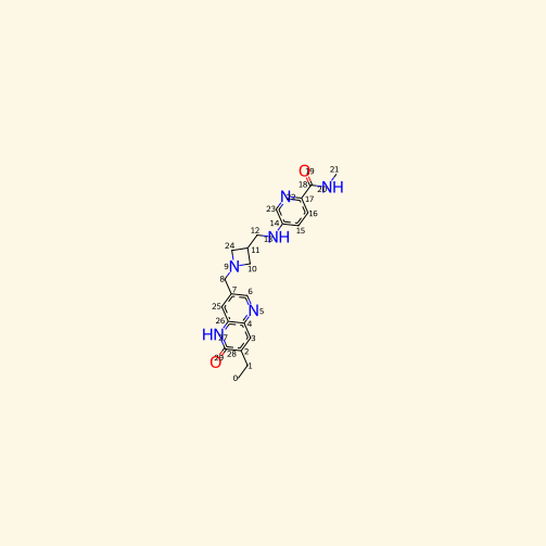 CCc1cc2ncc(CN3CC(CNc4ccc(C(=O)NC)nc4)C3)cc2[nH]c1=O